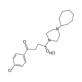 Cl.O=C(CCC(=O)N1CCN(C2CCCCCC2)CC1)c1ccc(Cl)cc1